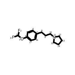 FC(F)Oc1ccc(CCCN2CCCC2)cc1